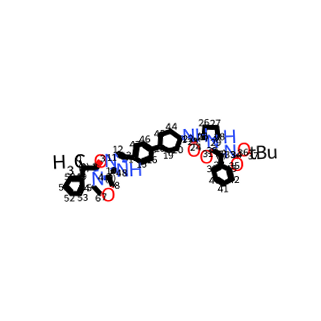 C[C@@H](C(=O)N1CCOC[C@H]1c1ncc(-c2ccc(C3CCC(NC(=O)[C@@H]4CCCN4C(=O)[C@H](NC(=O)OC(C)(C)C)c4ccccc4)CC3)cc2)[nH]1)c1ccccc1